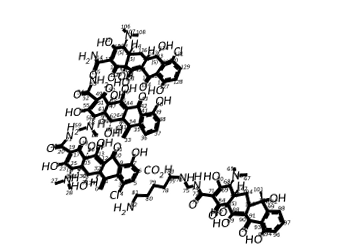 C=C1c2c(Cl)ccc(O)c2C(=O)C2=C(O)[C@]3(O)C(=O)C(C(N)=O)=C(O)[C@@H](N(C)C)[C@@H]3[C@@H](O)[C@H]12.C=C1c2cccc(O)c2C(=O)C2=C(O)[C@]3(O)C(=O)C(C(N)=O)=C(O)[C@@H](N(C)C)[C@@H]3[C@@H](O)[C@H]12.CN(C)[C@@H]1C(O)=C(C(=O)NCN[C@@H](CCCCN)C(=O)O)C(=O)[C@@]2(O)C(O)=C3C(=O)c4c(O)cccc4[C@@](C)(O)C3C[C@@H]12.CN(C)[C@@H]1C(O)=C(C(N)=O)C(=O)[C@@]2(O)C(O)=C3C(=O)c4c(O)ccc(Cl)c4[C@@H](O)[C@H]3C[C@@H]12